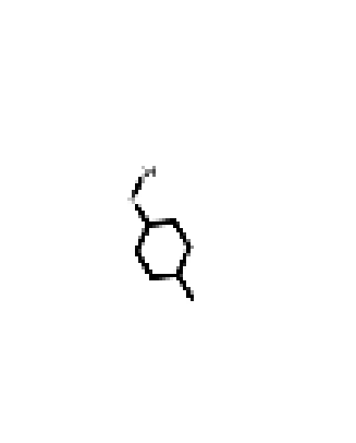 CC1CCC(SO)CC1